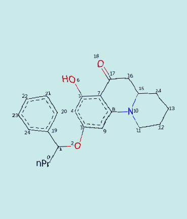 CCCC(Oc1cc(O)c2c(c1)N1CCCCC1CC2=O)c1ccccc1